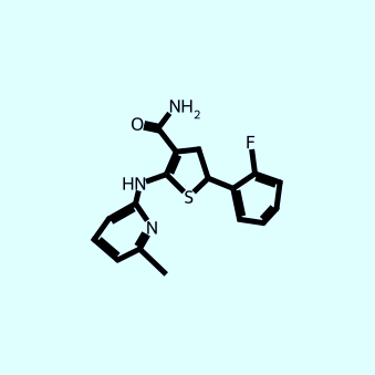 Cc1cccc(NC2=C(C(N)=O)CC(c3ccccc3F)S2)n1